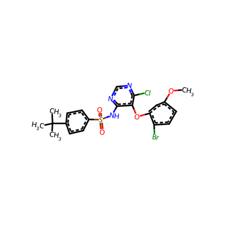 COc1ccc(Br)c(Oc2c(Cl)ncnc2NS(=O)(=O)c2ccc(C(C)(C)C)cc2)c1